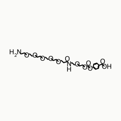 NCCOCCOCCOCCOCCOCCC(=O)NCCOCCOC(=O)Oc1ccc(C(=O)O)cc1